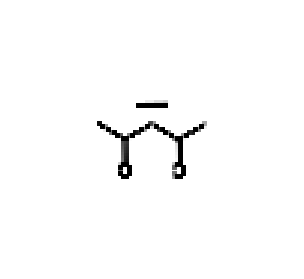 C=C.CC(=O)CC(C)=O